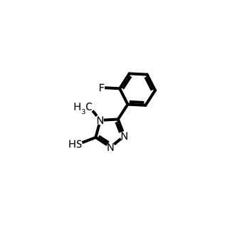 Cn1c(S)nnc1-c1ccccc1F